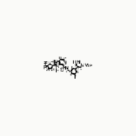 CN/C=C(\C=N)c1cc(F)cc(CNC(=O)c2nccc3c2NC(C2CCC(F)(F)C2)N3)c1